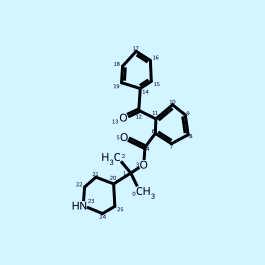 CC(C)(OC(=O)c1ccccc1C(=O)c1ccccc1)C1CCNCC1